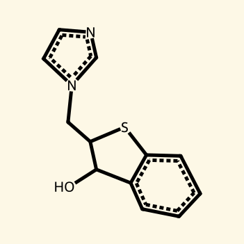 OC1c2ccccc2SC1Cn1ccnc1